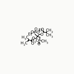 C=C(C)C(=O)OCC(COC(=O)C(=C)C)(CP(C)(C)=O)CP(=O)(OCC)OCC